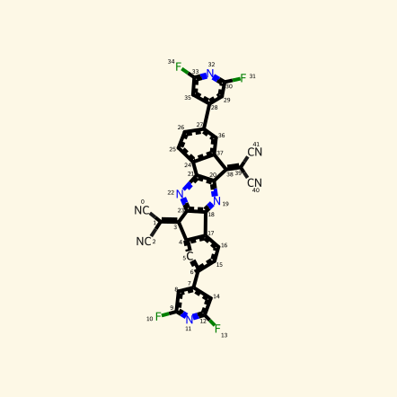 N#CC(C#N)=C1c2cc(-c3cc(F)nc(F)c3)ccc2-c2nc3c(nc21)-c1ccc(-c2cc(F)nc(F)c2)cc1C3=C(C#N)C#N